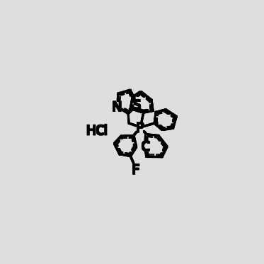 Cl.Fc1cccc(P(Cc2nccs2)(c2ccccc2)(c2ccccc2)c2ccccc2)c1